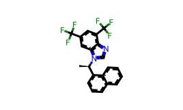 C[C@H](c1cccc2ccccc12)n1cnc2c(C(F)(F)F)cc(C(F)(F)F)cc21